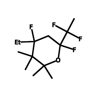 CCC1(F)CC(F)(C(C)(F)F)OC(C)(C)C1(C)C